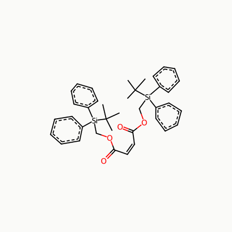 CC(C)(C)[Si](COC(=O)/C=C\C(=O)OC[Si](c1ccccc1)(c1ccccc1)C(C)(C)C)(c1ccccc1)c1ccccc1